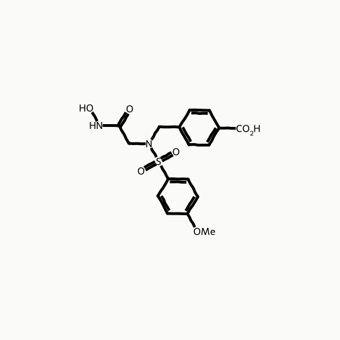 COc1ccc(S(=O)(=O)N(CC(=O)NO)Cc2ccc(C(=O)O)cc2)cc1